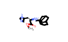 COC(=O)[C@H](Cc1cnc[nH]1)NCC12CC3CC(CC(C3)C1)C2